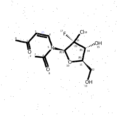 CC(=O)/C=C\N(C(C)=O)[C@@H]1O[C@H](CO)[C@@H](O)[C@]1(F)Cl